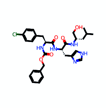 CC(C)C[C@@H](CO)NC(=O)[C@H](Cc1c[nH]cn1)NC(=O)[C@H](Cc1ccc(Cl)cc1)NC(=O)OCc1ccccc1